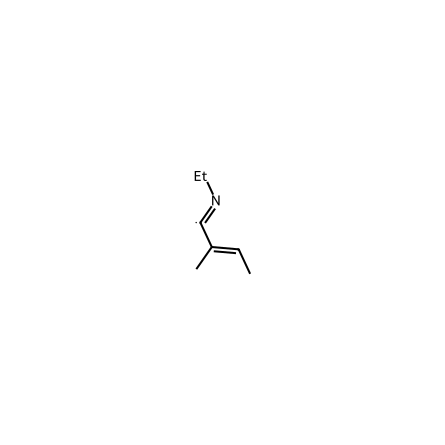 CC=C(C)/[C]=N/CC